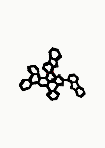 c1ccc(-c2cc3c4ccccc4c4ccccc4c3c3ccccc23)c(-c2nc(-c3cccc4c3oc3ccccc34)nc(-c3cccc4c3oc3ccccc34)n2)c1